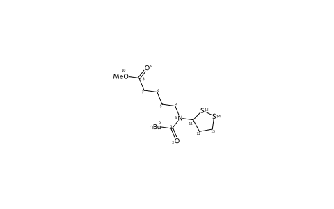 CCCCC(=O)N(CCCCC(=O)OC)C1CCSS1